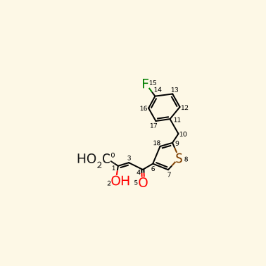 O=C(O)C(O)=CC(=O)c1csc(Cc2ccc(F)cc2)c1